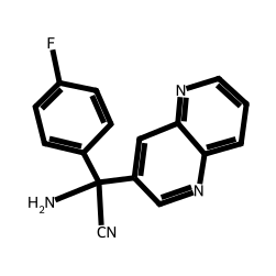 N#CC(N)(c1ccc(F)cc1)c1cnc2cccnc2c1